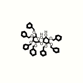 OC1C(OCc2ccccc2)[C@@H](OCc2ccccc2)[C@H](OCc2ccccc2)C(O[C@H]2OC(COCc3ccccc3)[C@@H](OCc3ccccc3)C(OCc3ccccc3)[C@H]2OCc2ccccc2)[C@@H]1O